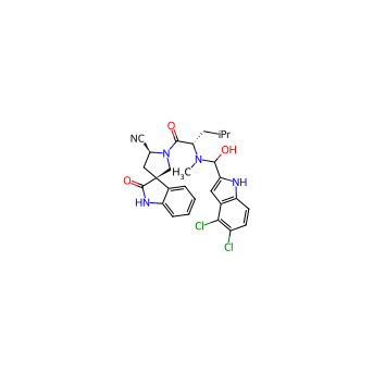 CC(C)C[C@@H](C(=O)N1C[C@]2(C[C@H]1C#N)C(=O)Nc1ccccc12)N(C)C(O)c1cc2c(Cl)c(Cl)ccc2[nH]1